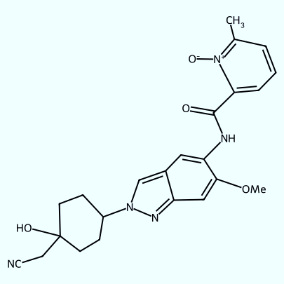 COc1cc2nn(C3CCC(O)(CC#N)CC3)cc2cc1NC(=O)c1cccc(C)[n+]1[O-]